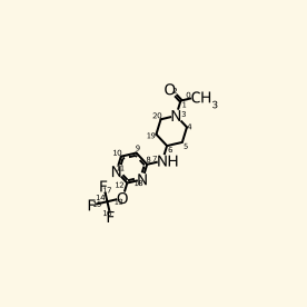 CC(=O)N1CCC(Nc2ccnc(OC(F)(F)F)n2)CC1